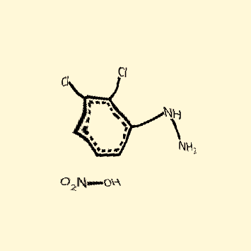 NNc1cccc(Cl)c1Cl.O=[N+]([O-])O